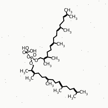 CC(C)=CCC/C(C)=C/CC/C(C)=C/CC/C(C)=C(/C)COP(=O)(OC/C(C)=C(/C)CC/C=C(\C)CC/C=C(\C)CCC=C(C)C)OP(=O)(O)O